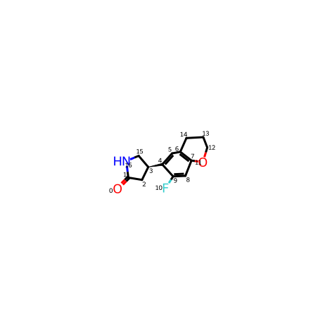 O=C1C[C@H](c2cc3c(cc2F)OCCC3)CN1